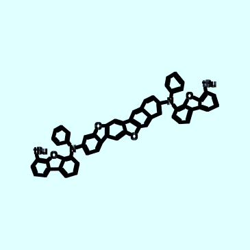 CC(C)(C)c1cccc2c1oc1c(N(c3ccccc3)c3ccc4cc5c(cc4c3)oc3cc4c(cc35)oc3cc(N(c5ccccc5)c5cccc6c5oc5c(C(C)(C)C)cccc56)ccc34)cccc12